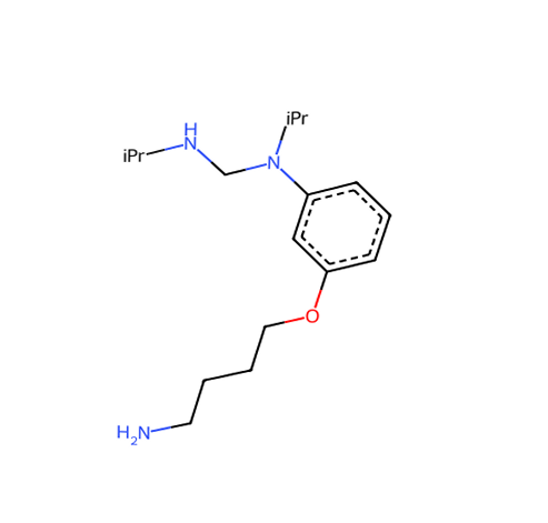 CC(C)NCN(c1cccc(OCCCCN)c1)C(C)C